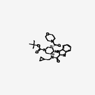 CC(C)(C)OC(=O)N1C[C@H](C(=O)N2CCOCC2)C[C@H](N(CC2CC2)C(=O)c2nc3ccccc3[nH]2)C1